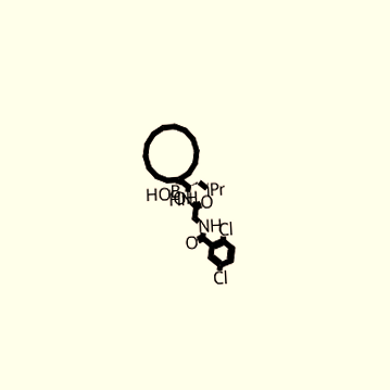 CC(C)C[C@H](NC(=O)CNC(=O)c1cc(Cl)ccc1Cl)C1(B(O)O)CCCCCCCCCCCCC1